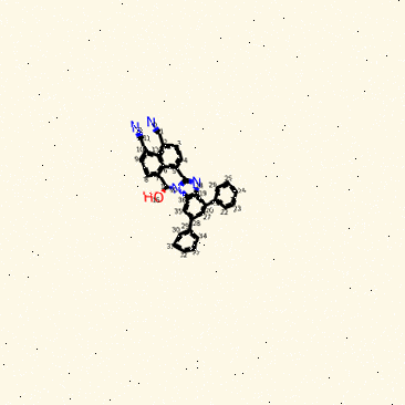 N#Cc1ccc2c3c(ccc(C#N)c13)C(O)n1c-2nc2c(-c3ccccc3)cc(-c3ccccc3)cc21